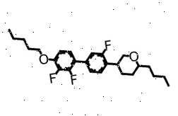 CCCCCOc1ccc(-c2ccc(C3CCC(CCCC)OC3)c(F)c2)c(F)c1F